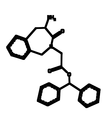 NC1Cc2ccccc2CN(CC(=O)OC(c2ccccc2)c2ccccc2)C1=O